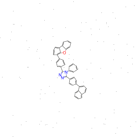 c1ccc(-n2c(-c3ccc(-c4cccc5ccccc45)cc3)nnc2-c2ccc(-c3cccc4c3oc3ccccc34)cc2)cc1